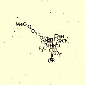 COCCOCCOCCOCCOCC(=O)N(c1nn(CC(F)(F)F)c2c(-c3ccc(C#CC(C)(C)S(C)(=O)=O)nc3C(Cc3cc(F)cc(F)c3)NC(=O)Cn3nc(C(F)(F)F)c4c3C(F)(F)[C@@H]3C[C@H]43)ccc(Cl)c12)S(C)(=O)=O